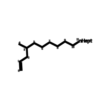 C=CCC(C)CCCCCCCCCCCCC